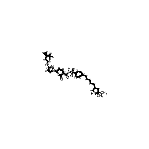 CC1(C)CC(CCCCCc2ccc(S(=O)(=O)NC(=O)c3ccc(-n4ccc(OCCC5(C(F)(F)F)CC5)n4)nc3Cl)nc2)CN1